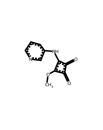 COc1c(Nc2cccnc2)c(=O)c1=O